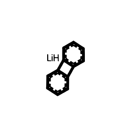 [LiH].c1ccc2c(c1)-c1ccccc1-2